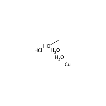 CO.Cl.O.O.[Cu]